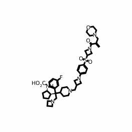 C=C(CN1CCOCC1)C(=O)N1CC(S(=O)(=O)c2ccc(N3CC(CN4CCC(C(CN5CCC5)(c5cccc(F)c5)[C@H]5CCC[C@@H]5NC(=O)O)CC4)C3)cc2)C1